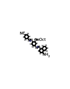 CCCCCCCCOc1cc(/N=N/c2ccc(N)c3ccccc23)ccc1/N=N/c1ccc(C#N)cc1